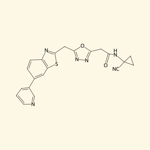 N#CC1(NC(=O)Cc2nnc(Cc3nc4ccc(-c5cccnc5)cc4s3)o2)CC1